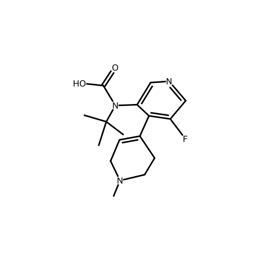 CN1CC=C(c2c(F)cncc2N(C(=O)O)C(C)(C)C)CC1